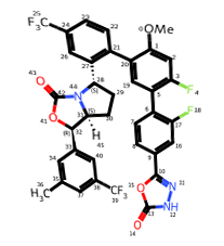 COc1cc(F)c(-c2ccc(-c3n[nH]c(=O)o3)cc2F)cc1-c1ccc(C(F)(F)F)cc1[C@@H]1CC[C@H]2[C@@H](c3cc(C)cc(C(F)(F)F)c3)OC(=O)N12